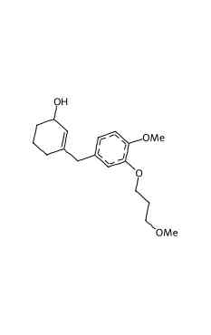 COCCCOc1cc(CC2=CC(O)CCC2)ccc1OC